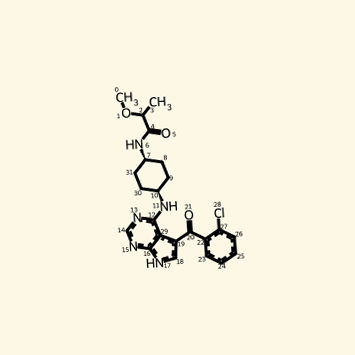 COC(C)C(=O)N[C@H]1CC[C@@H](Nc2ncnc3[nH]cc(C(=O)c4ccccc4Cl)c23)CC1